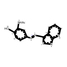 CC(=O)Nc1cc(/N=N/c2snc3ncccc23)ccc1O